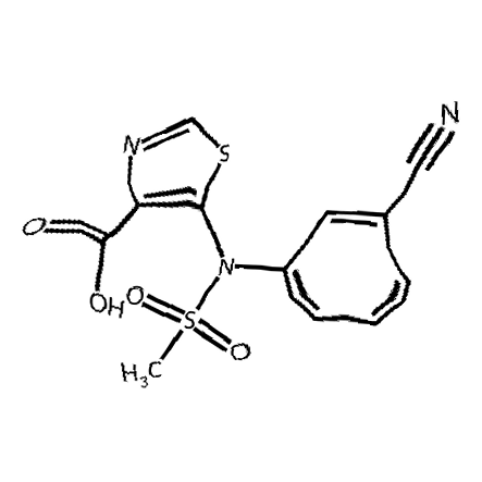 CS(=O)(=O)N(c1cccc(C#N)c1)c1scnc1C(=O)O